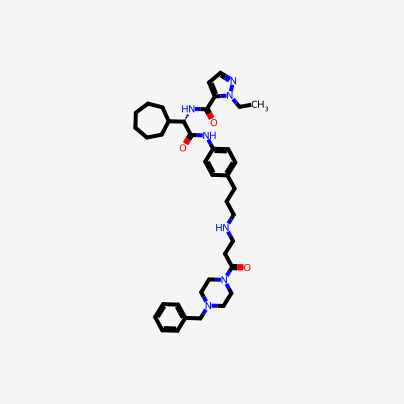 CCn1nccc1C(=O)N[C@H](C(=O)Nc1ccc(CCCNCCC(=O)N2CCN(Cc3ccccc3)CC2)cc1)C1CCCCCC1